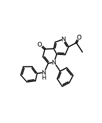 CC(=O)c1cc2c(cn1)c(=O)cc(Nc1ccccc1)n2-c1ccccc1